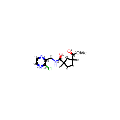 COC(=O)C1(C)CCC(C)(C(=O)NCc2nccnc2Cl)C1